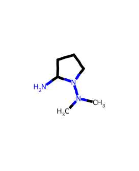 CN(C)N1CCCC1N